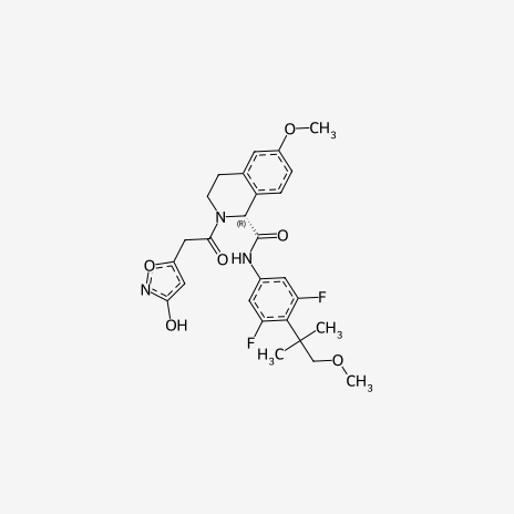 COCC(C)(C)c1c(F)cc(NC(=O)[C@H]2c3ccc(OC)cc3CCN2C(=O)Cc2cc(O)no2)cc1F